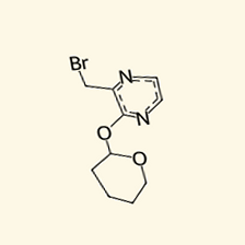 BrCc1nccnc1OC1CCCCO1